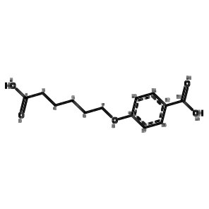 O=C(O)CCCCCOc1ccc(C(=O)O)cc1